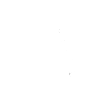 CCCCCCCCc1ccsc1-c1cccc(-c2ccc(C=O)cc2)c1